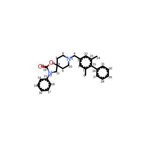 Cc1cc(CN2CCC3(CC2)CN(c2ccccc2)C(=O)O3)cc(C)c1-c1ccccc1